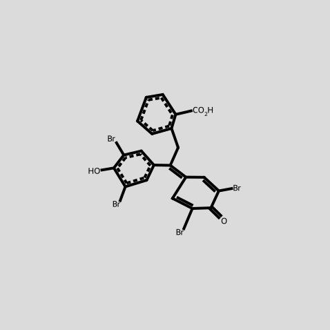 O=C1C(Br)=CC(=C(Cc2ccccc2C(=O)O)c2cc(Br)c(O)c(Br)c2)C=C1Br